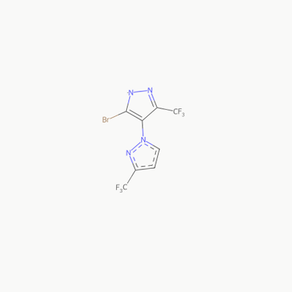 FC(F)(F)C1=N[N]C(Br)=C1n1ccc(C(F)(F)F)n1